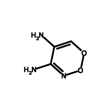 NC1=COON=C1N